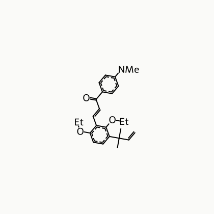 C=CC(C)(C)c1ccc(OCC)c(C=CC(=O)c2ccc(NC)cc2)c1OCC